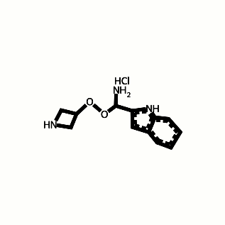 Cl.NC(OOC1CNC1)c1cc2ccccc2[nH]1